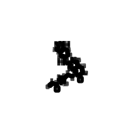 C=CC(=O)N1CC(CCn2c(=O)ccc3cnc(Nc4ccc5[nH]ncc5c4)nc32)C1